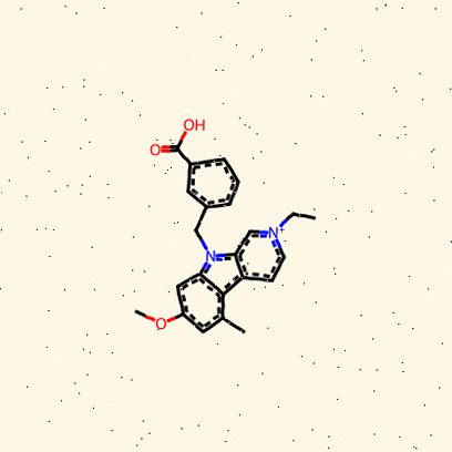 CC[n+]1ccc2c3c(C)cc(OC)cc3n(Cc3cccc(C(=O)O)c3)c2c1